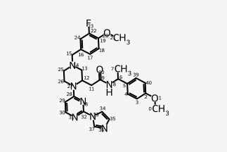 COc1ccc(C(C)NC(=O)CC2CN(Cc3ccc(OC)c(F)c3)CCN2c2ccnc(-n3ccnc3)n2)cc1